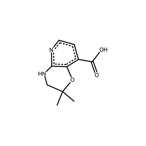 CC1(C)CNc2nccc(C(=O)O)c2O1